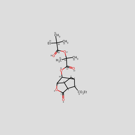 CCOC(=O)C1C2CC3C(OC(=O)C31)C2OC(=O)C(C)(C)OC(=O)C(C)(C)CC